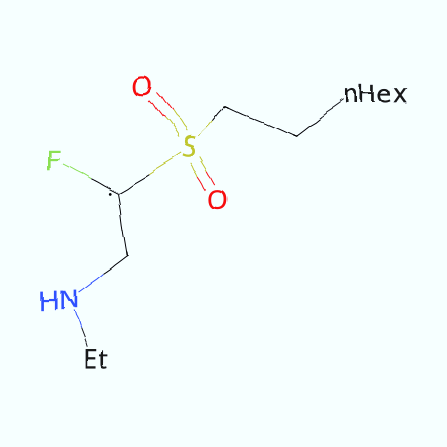 CCCCCCCCS(=O)(=O)[C](F)CNCC